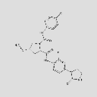 COC1CC(C(=O)Nc2ccc(N3CCNC3=O)cc2F)N(C(=O)Nc2ccc(Cl)cc2)C1